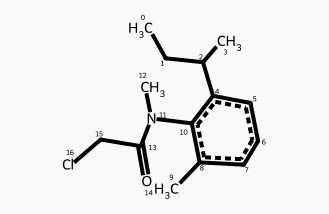 CCC(C)c1cccc(C)c1N(C)C(=O)CCl